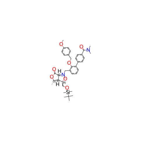 COc1ccc(COc2c(CN3O[C@@H](CO[Si](C)(C)C(C)(C)C)[C@H]4[C@H](C)OC(=O)[C@H]43)cccc2-c2ccc(C(=O)N(C)C)cc2)cc1